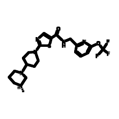 C[C@@H]1CCCN(C2CCN(c3ncc(C(=O)NCc4cccc(OC(F)(F)F)n4)s3)CC2)C1